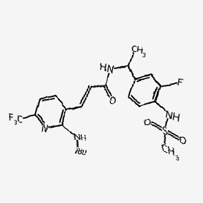 CCC(C)Nc1nc(C(F)(F)F)ccc1C=CC(=O)NC(C)c1ccc(NS(C)(=O)=O)c(F)c1